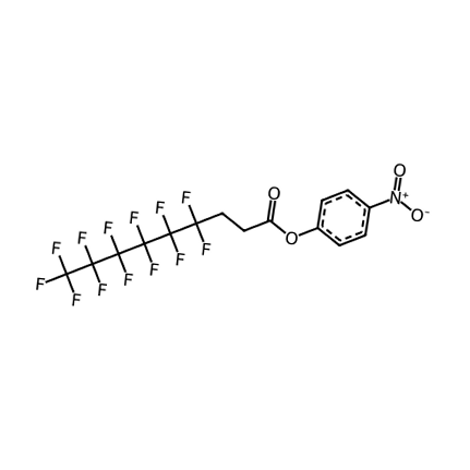 O=C(CCC(F)(F)C(F)(F)C(F)(F)C(F)(F)C(F)(F)C(F)(F)F)Oc1ccc([N+](=O)[O-])cc1